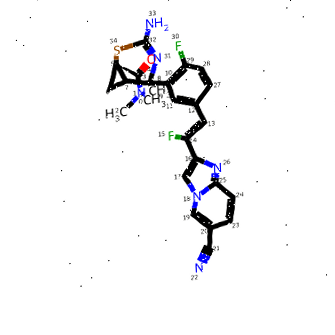 CN(C)C(=O)[C@]12CC1[C@@](C)(c1cc(/C=C(\F)c3cn4cc(C#N)ccc4n3)ccc1F)N=C(N)S2